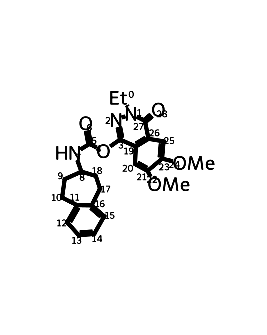 CCn1nc(OC(=O)NC2CCc3ccccc3CC2)c2cc(OC)c(OC)cc2c1=O